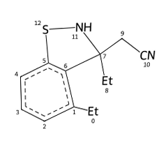 CCc1cccc2c1C(CC)(CC#N)NS2